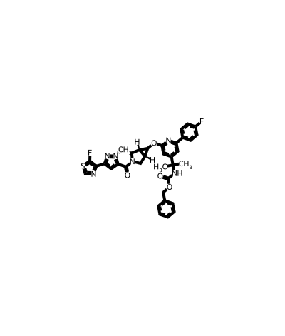 Cn1nc(-c2ncsc2F)cc1C(=O)N1C[C@@H]2C(Oc3cc(C(C)(C)NC(=O)OCc4ccccc4)cc(-c4ccc(F)cc4)n3)[C@@H]2C1